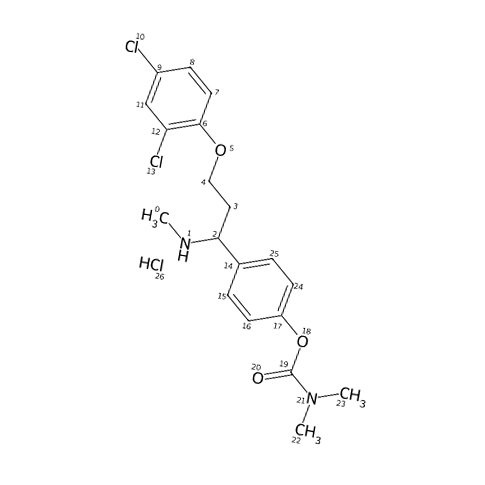 CNC(CCOc1ccc(Cl)cc1Cl)c1ccc(OC(=O)N(C)C)cc1.Cl